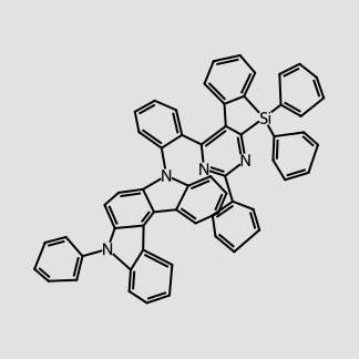 c1ccc(-c2nc(-c3ccccc3-n3c4ccccc4c4c5c6ccccc6n(-c6ccccc6)c5ccc43)c3c(n2)[Si](c2ccccc2)(c2ccccc2)c2ccccc2-3)cc1